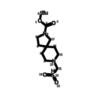 CC(C)(C)OC(=O)N1CCC2(CCN(C[SH](=O)=O)CC2)C1